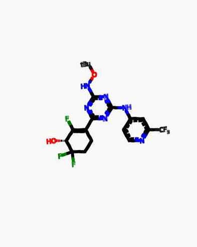 CC(C)(C)ONc1nc(Nc2ccnc(C(F)(F)F)c2)nc(C2=C(F)[C@@H](O)C(F)(F)CC2)n1